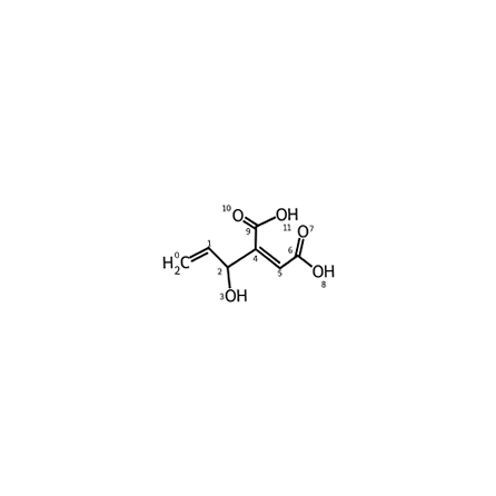 C=CC(O)C(=CC(=O)O)C(=O)O